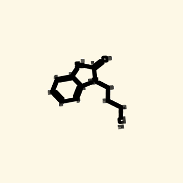 O=c1[se]c2ccccc2n1CCCCl